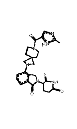 Cc1ncc(C(=O)N2CCC3(CC2)CN(c2cccc4c2CN(C2CCC(=O)NC2=O)C4=O)C3)[nH]1